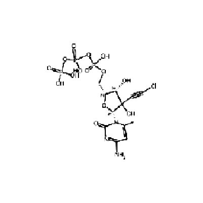 Cc1cc(N)nc(=O)n1[C@@H]1O[C@H](COP(=O)(O)OP(=O)(O)OP(=O)(O)O)[C@H](O)C1(O)C#CCl